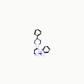 c1ccc(C2CCN(c3ccnc4nc5ccccc5n34)CC2)cc1